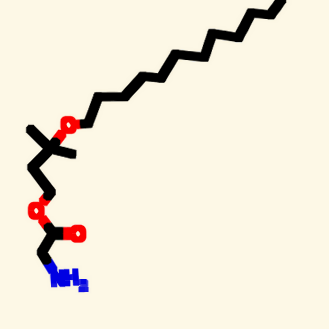 CCCCCCCCCCCCOC(C)(C)CCOC(=O)CN